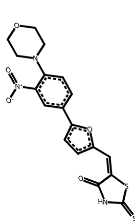 O=C1NC(=S)SC1=Cc1ccc(-c2ccc(N3CCOCC3)c([N+](=O)[O-])c2)o1